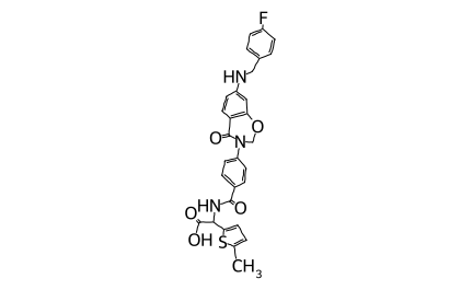 Cc1ccc(C(NC(=O)c2ccc(N3COc4cc(NCc5ccc(F)cc5)ccc4C3=O)cc2)C(=O)O)s1